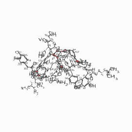 CN[C@H](CC(C)C)C(=O)N[C@H]1C(=O)N[C@@H](CC(N)=O)C(=O)N[C@H]2C(=O)N[C@H]3C(=O)N[C@H](C(=O)N[C@@H](C(=O)NOCCCN(C)C)c4cc(O)cc(O)c4-c4cc3ccc4O)[C@H](O)c3ccc(c(Cl)c3)Oc3cc2cc(c3O[C@@H]2O[C@H](CO)[C@@H](O)[C@H](O)[C@H]2O[C@H]2C[C@](C)(NCCn3ccc(NC(=O)Cc4ccc(Cl)c(F)c4)nc3=O)[C@H](O)[C@H](C)O2)Oc2ccc(cc2Cl)[C@H]1O